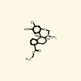 CCOC(=O)c1cccc2c1CC[C@H]1[C@H]2c2cc(O)c(Cl)cc2CCN1C